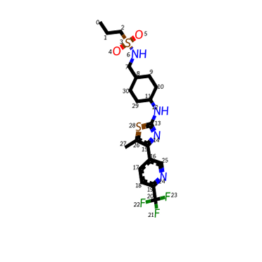 CCCS(=O)(=O)NCC1CCC(Nc2nc(-c3ccc(C(F)(F)F)nc3)c(C)s2)CC1